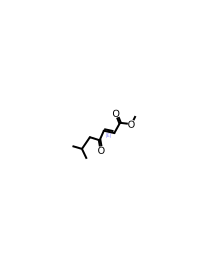 COC(=O)/C=C/C(=O)CC(C)C